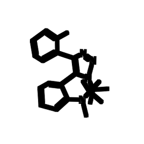 Cc1ccccc1-c1nnn(C(C)C)c1-c1ccccc1N(C)C(C)(C)C